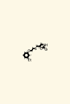 CCc1cccc(OCCSCc2c[nH]c(=O)o2)c1